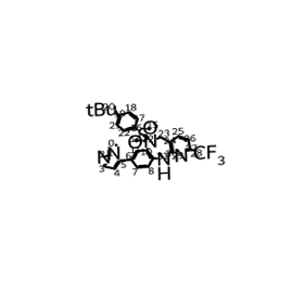 Cn1nccc1-c1ccc2c(c1)N(S(=O)(=O)c1ccc(C(C)(C)C)cc1)Cc1ccc(C(F)(F)F)nc1N2